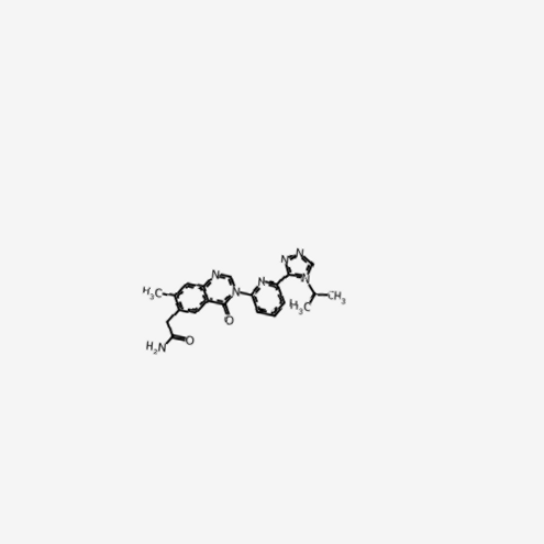 Cc1cc2ncn(-c3cccc(-c4nncn4C(C)C)n3)c(=O)c2cc1CC(N)=O